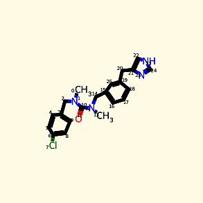 CN(Cc1ccc(Cl)cc1)C(=O)N(C)Cc1cccc(Cc2c[nH]cn2)c1